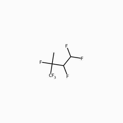 CC(F)(C(F)C(F)F)C(F)(F)F